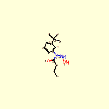 CCCC(=O)N(NO)c1cccc(C(C)(C)C)c1